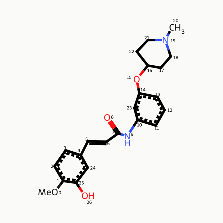 COc1ccc(C=CC(=O)Nc2cccc(OC3CCN(C)CC3)c2)cc1O